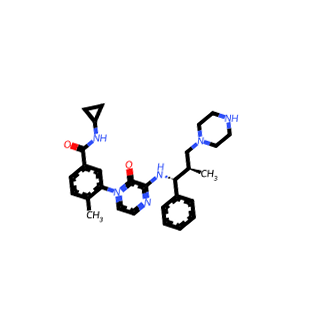 Cc1ccc(C(=O)NC2CC2)cc1-n1ccnc(N[C@@H](c2ccccc2)[C@H](C)CN2CCNCC2)c1=O